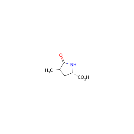 CC1C[C@@H](C(=O)O)NC1=O